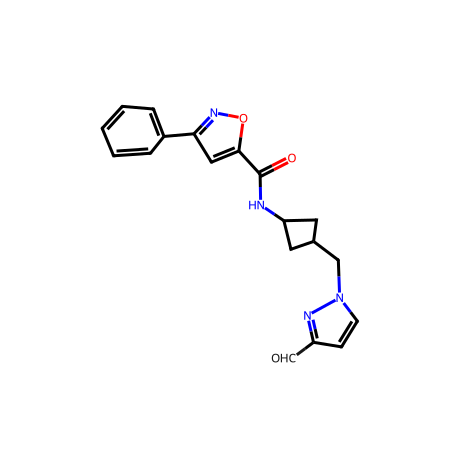 O=Cc1ccn(CC2CC(NC(=O)c3cc(-c4ccccc4)no3)C2)n1